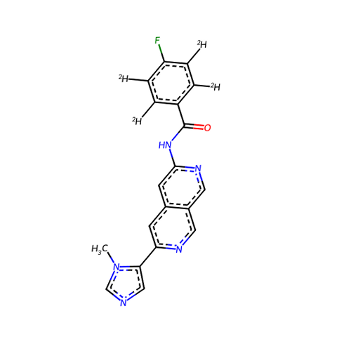 [2H]c1c([2H])c(C(=O)Nc2cc3cc(-c4cncn4C)ncc3cn2)c([2H])c([2H])c1F